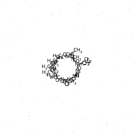 CCCOC[C@H]1C(=O)N(C)CC(=O)N[C@@H](CCc2ccc(C(F)(F)F)c(Cl)c2)C(=O)N2CCC[C@H]2C(=O)NC2(CCCC2)C(=O)N(C)C(C2CCCCC2)C(=O)N(C)C(C=O)CC(O)N(C)[C@@H](CC(C)C)C(=O)N[C@@H]([C@@H](C)CC)C(=O)N(C)CC(=O)N(C)CC(=O)N1C